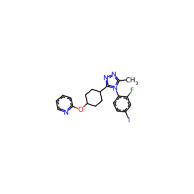 Cc1nnc(C2CCC(Oc3ccccn3)CC2)n1-c1ccc(I)cc1F